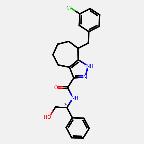 O=C(N[C@H](CO)c1ccccc1)c1n[nH]c2c1CCCCC2Cc1cccc(Cl)c1